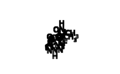 CC1(C)CNC(=O)c2ccc(-c3nc(Nc4cc(CS(C)(=O)=O)ccn4)ncc3F)cc21